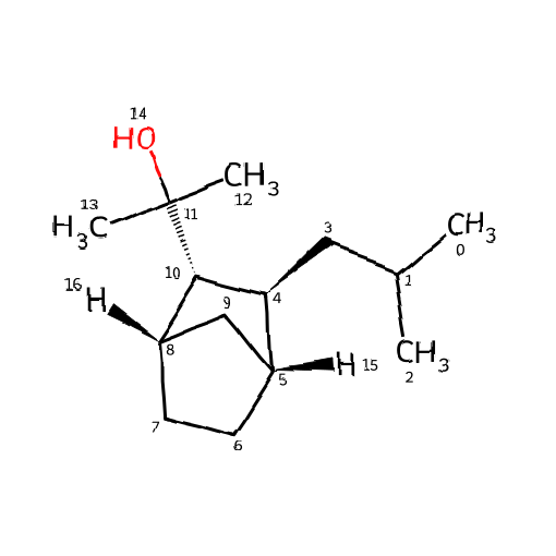 CC(C)C[C@H]1[C@@H]2CC[C@@H](C2)[C@@H]1C(C)(C)O